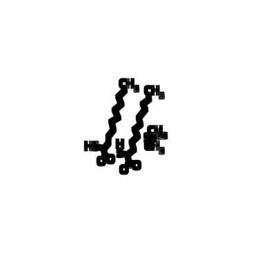 CCCCCCCCCCC(S)C(=O)[O-].CCCCCCCCCCC(S)C(=O)[O-].[CH3][Sn+2][CH3]